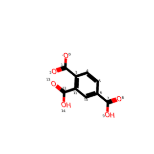 [O]C(=O)c1ccc(C(=O)O)cc1C(=O)O